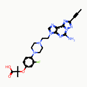 CC#Cc1nc2c3ncn(CCN4CCN(c5ccc(OC(C)(C)C(=O)O)cc5F)CC4)c3nc(N)n2n1